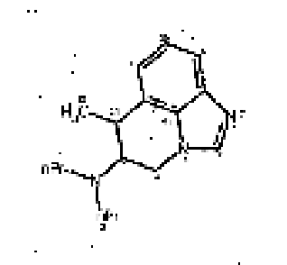 CCCN(CCC)C1Cn2cnc3cccc(c32)C1C